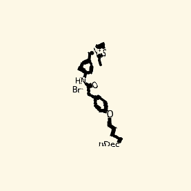 CCCCCCCCCCCCCCOc1ccc(CC(=O)Nc2ccc(C[n+]3ccsc3C)cc2)cc1.[Br-]